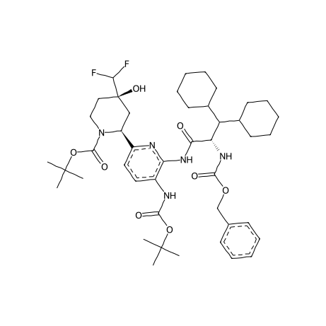 CC(C)(C)OC(=O)Nc1ccc([C@@H]2C[C@@](O)(C(F)F)CCN2C(=O)OC(C)(C)C)nc1NC(=O)[C@@H](NC(=O)OCc1ccccc1)C(C1CCCCC1)C1CCCCC1